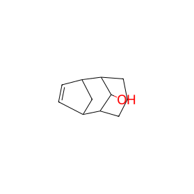 OC1C2CCCC1C1C=CC2C1